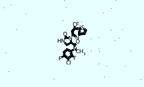 CN(C(=O)C1CNC(=O)N1c1cc(C(F)(F)F)c2sccc2n1)c1ccc(F)c(Cl)c1F